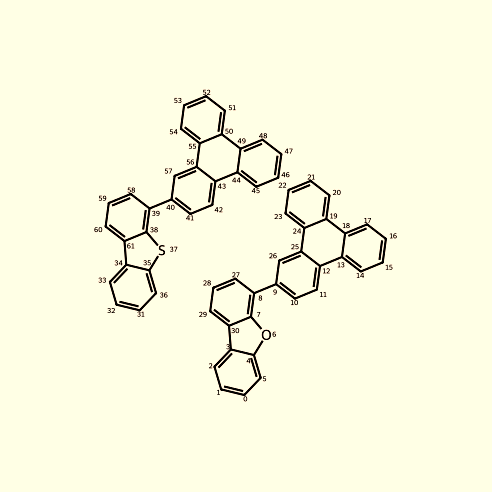 c1ccc2c(c1)oc1c(-c3ccc4c5ccccc5c5ccccc5c4c3)cccc12.c1ccc2c(c1)sc1c(-c3ccc4c5ccccc5c5ccccc5c4c3)cccc12